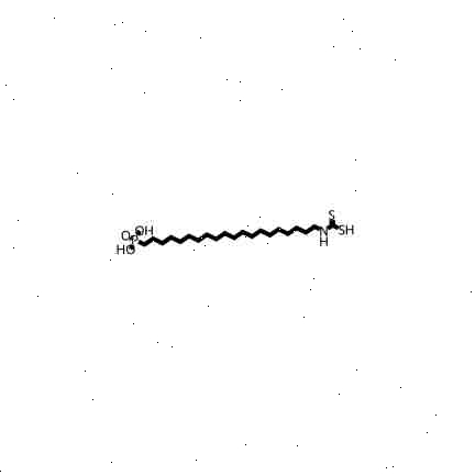 O=P(O)(O)CCCCCCCCCCCCCCCCCCCCNC(=S)S